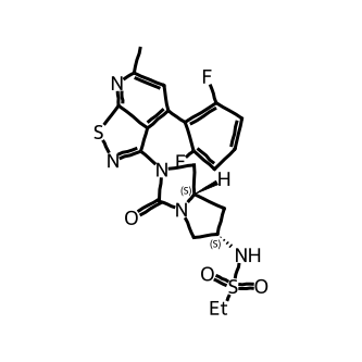 CCS(=O)(=O)N[C@H]1C[C@H]2CN(c3nsc4nc(C)cc(-c5c(F)cccc5F)c34)C(=O)N2C1